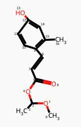 COC(C)OC(=O)C=Cc1ccc(O)cc1C